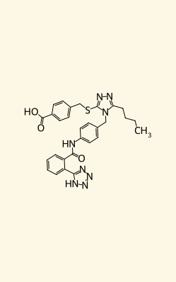 CCCCc1nnc(SCc2ccc(C(=O)O)cc2)n1Cc1ccc(NC(=O)c2ccccc2-c2nnn[nH]2)cc1